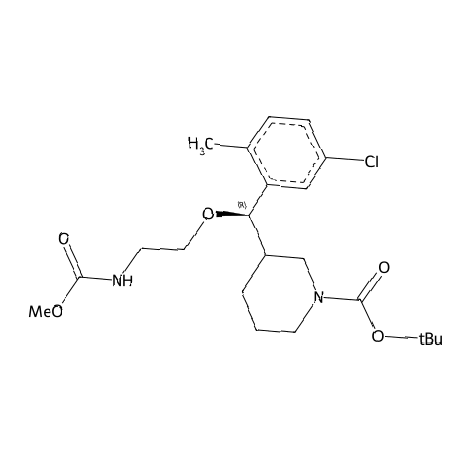 COC(=O)NCCO[C@@H](c1cc(Cl)ccc1C)C1CCCN(C(=O)OC(C)(C)C)C1